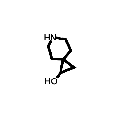 OC1CC12CCNCC2